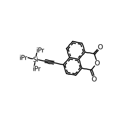 CC(C)[Si](C#Cc1ccc2c3c(cccc13)C(=O)OC2=O)(C(C)C)C(C)C